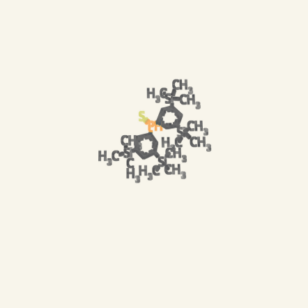 C[Si](C)(C)c1cc([PH](=S)c2cc([Si](C)(C)C)cc([Si](C)(C)C)c2)cc([Si](C)(C)C)c1